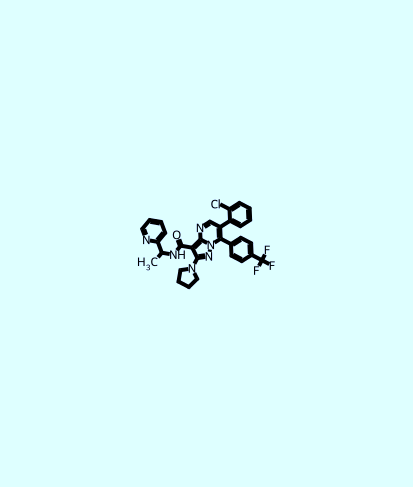 CC(NC(=O)c1c(N2CCCC2)nn2c(-c3ccc(C(F)(F)F)cc3)c(-c3ccccc3Cl)cnc12)c1ccccn1